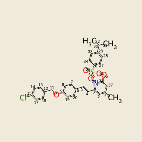 Cc1cc(C=Cc2ccc(OCc3ccc(Cl)cc3)cc2)n(OS(=O)(=O)c2ccc(C(C)C)cc2)c(=O)c1